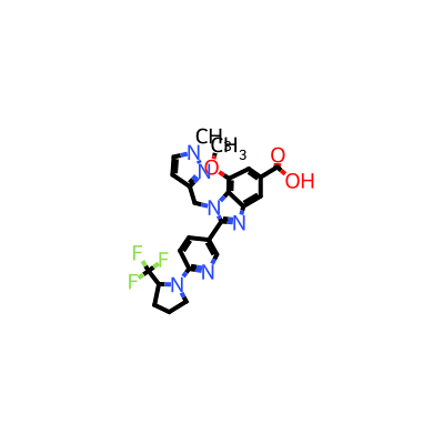 COc1cc(C(=O)O)cc2nc(-c3ccc(N4CCCC4C(F)(F)F)nc3)n(Cc3ccn(C)n3)c12